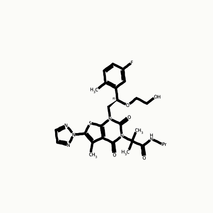 Cc1ccc(F)cc1[C@H](Cn1c(=O)n(C(C)(C)C(=O)NC(C)C)c(=O)c2c(C)c(-n3nccn3)sc21)OCCO